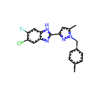 Cc1ccc(Cn2nc(-c3nc4cc(Cl)c(F)cc4[nH]3)cc2C)cc1